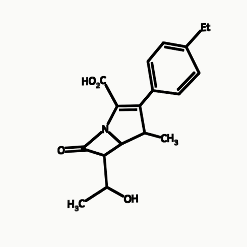 CCc1ccc(C2=C(C(=O)O)N3C(=O)C(C(C)O)C3C2C)cc1